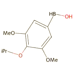 COc1cc(BO)cc(OC)c1OC(C)C